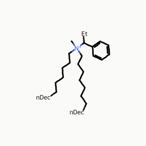 CCCCCCCCCCCCCCCCC[N+](C)(CCCCCCCCCCCCCCCC)C(CC)c1ccccc1